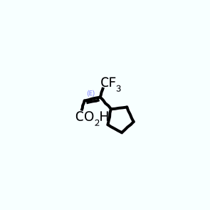 O=C(O)/C=C(\C1CCCC1)C(F)(F)F